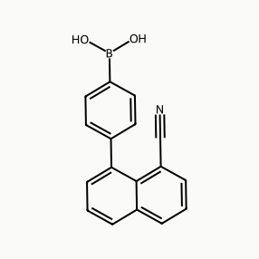 N#Cc1cccc2cccc(-c3ccc(B(O)O)cc3)c12